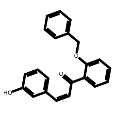 O=C(/C=C\c1cccc(O)c1)c1ccccc1OCc1ccccc1